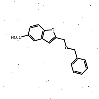 O=C(O)c1ccc2oc(COCc3ccccc3)cc2c1